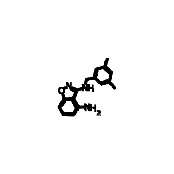 Cc1cc(C)cc(CNc2noc3cccc(N)c23)c1